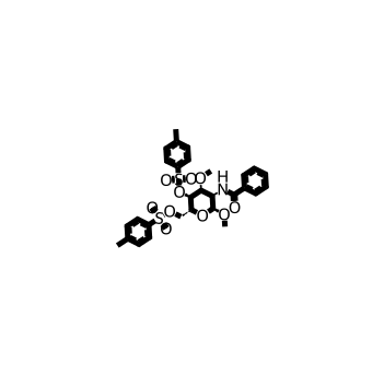 CO[C@H]1O[C@H](COS(=O)(=O)c2ccc(C)cc2)[C@@H](OS(=O)(=O)c2ccc(C)cc2)[C@H](OC)[C@@H]1NC(=O)c1ccccc1